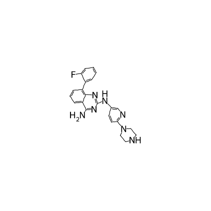 Nc1nc(Nc2ccc(N3CCNCC3)nc2)nc2c(-c3ccccc3F)cccc12